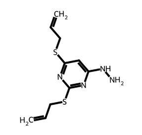 C=CCSc1cc(NN)nc(SCC=C)n1